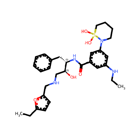 CCNc1cc(C(=O)N[C@@H](Cc2ccccc2)[C@@H](O)CNCc2ccc(CC)o2)cc(N2CCCCS2(O)O)c1